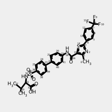 Cc1nc(-c2ccc(C(F)(F)F)cc2)sc1C(=O)Nc1ccc(-c2ccc(S(=O)(=O)NC(C(=O)O)C(C)C)cc2)cc1